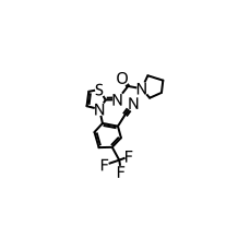 N#Cc1cc(C(F)(F)F)ccc1-n1ccsc1=NC(=O)N1CCCC1